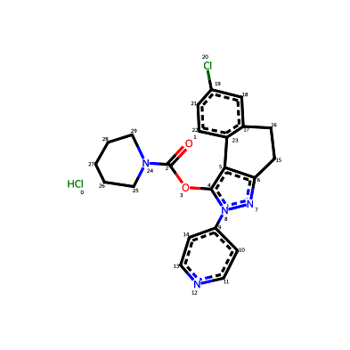 Cl.O=C(Oc1c2c(nn1-c1ccncc1)CCc1cc(Cl)ccc1-2)N1CCCCC1